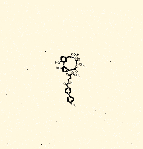 CCCCc1ccc(-c2ccc(C(=O)NCCC(=O)N(C)[C@@H]3C(=O)N[C@@H](C)C(=O)N[C@H](C(=O)O)Cc4ccc(O)c(c4)-c4cc3ccc4O)cc2)cc1